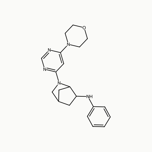 c1ccc(NC2CC3CC2N(c2cc(N4CCOCC4)ncn2)C3)cc1